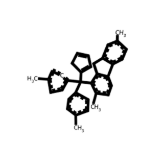 Cc1ccc(C(C2=CC=CC2)(c2ccc(C)cc2)c2c(C)ccc3c2Cc2cc(C)ccc2-3)cc1